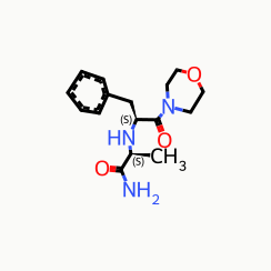 C[C@H](N[C@@H](Cc1ccccc1)C(=O)N1CCOCC1)C(N)=O